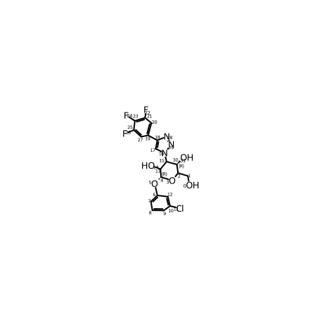 OCC1O[C@H](Oc2cccc(Cl)c2)C(O)C(n2cc(-c3cc(F)c(F)c(F)c3)nn2)[C@H]1O